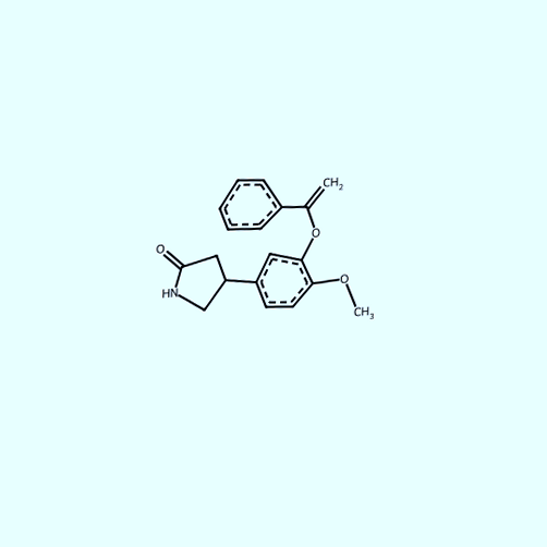 C=C(Oc1cc(C2CNC(=O)C2)ccc1OC)c1ccccc1